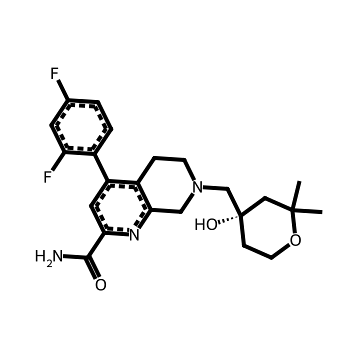 CC1(C)C[C@](O)(CN2CCc3c(-c4ccc(F)cc4F)cc(C(N)=O)nc3C2)CCO1